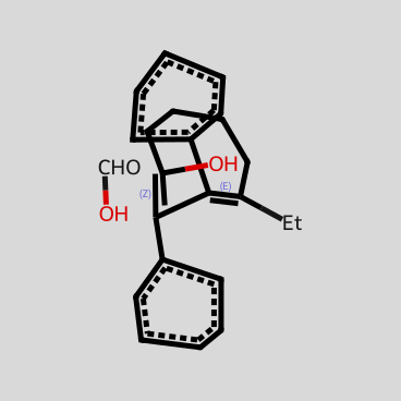 CC/C1=C(c2ccccc2)\C(c2ccccc2)=C(/O)CCCC1.O=CO